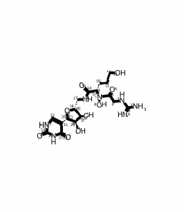 N=C(N)NCC(=O)N(O)[C@@H](CCCO)C(=O)NC[C@H]1O[C@@H](c2c[nH]c(=O)[nH]c2=O)[C@H](O)[C@@H]1O